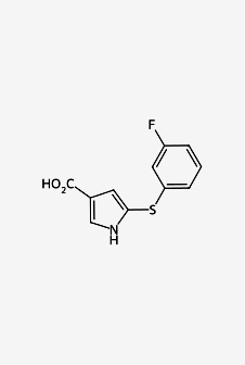 O=C(O)c1c[nH]c(Sc2cccc(F)c2)c1